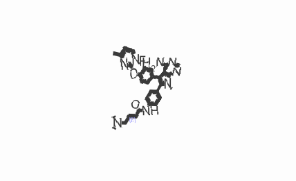 Cc1ccnc(Oc2ccc(-c3c(-c4ccc(NC(=O)/C=C/CN(C)C)cc4)n(C)c4ncnc(N)c34)cc2F)n1